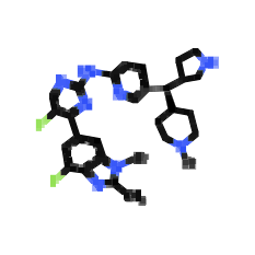 CCN1CCC([C@@H](c2ccc(Nc3ncc(F)c(-c4cc(F)c5nc(C)n(C(C)C)c5c4)n3)nc2)C2CCNC2)CC1